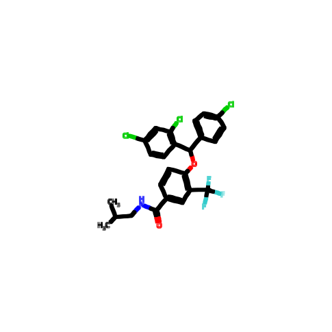 CC(C)CNC(=O)c1ccc(OC(c2ccc(Cl)cc2)c2ccc(Cl)cc2Cl)c(C(F)(F)F)c1